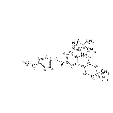 COc1ccc(CSc2ccc3c(c2)nc(C(C)(C)C)n3CC2CCOC(C)(C)C2)cc1